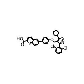 O=C(O)c1ccc2cc(-c3ccc(OCc4c(-c5c(Cl)cccc5Cl)noc4C4CCCC4)cc3)ccc2n1